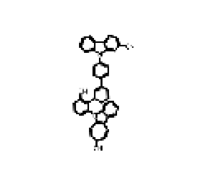 N#Cc1ccc2c3ccccc3n(-c3ccc(C4=CC(c5c(C#N)cccc5-n5c6c(c7ccccc75)C=CC(C#N)C=C6)CC=C4)cc3)c2c1